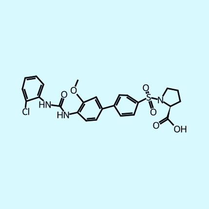 COc1cc(-c2ccc(S(=O)(=O)N3CCC[C@H]3C(=O)O)cc2)ccc1NC(=O)Nc1ccccc1Cl